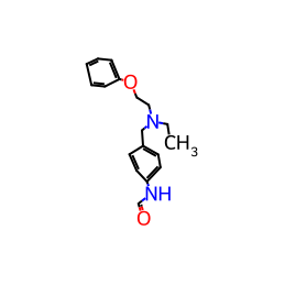 CCN(CCOc1ccccc1)Cc1ccc(NC=O)cc1